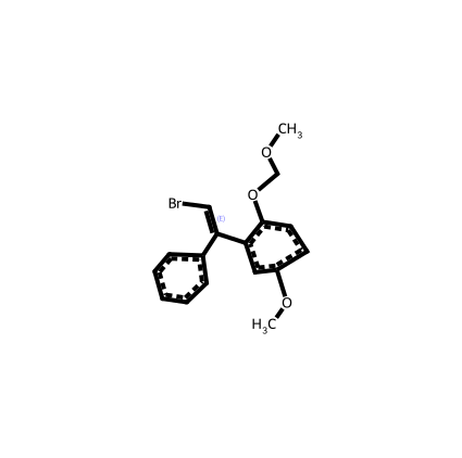 COCOc1ccc(OC)cc1/C(=C/Br)c1ccccc1